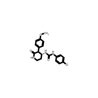 COc1ccc(C2C(=O)NCC[C@H]2NC(=O)Nc2ccc(Cl)cc2)cc1